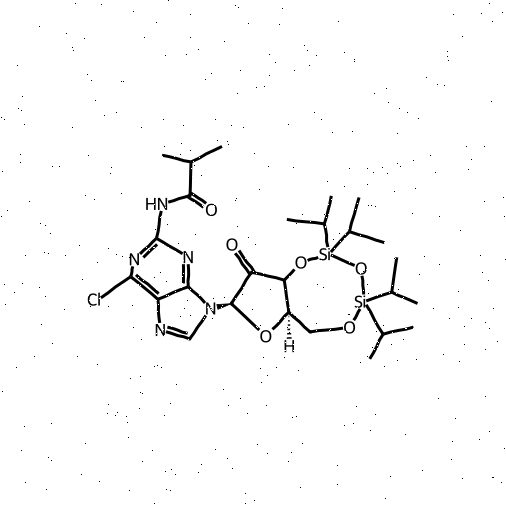 CC(C)C(=O)Nc1nc(Cl)c2ncn([C@@H]3O[C@@H]4CO[Si](C(C)C)(C(C)C)O[Si](C(C)C)(C(C)C)OC4C3=O)c2n1